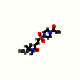 CC(C)C(=O)N1CCN(S(=O)(=O)CCCC(=O)N(C)C(C)(C)C(=O)O)CC1